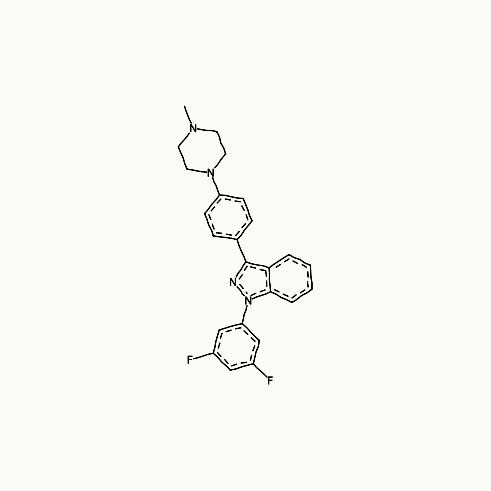 CN1CCN(c2ccc(-c3nn(-c4cc(F)cc(F)c4)c4ccccc34)cc2)CC1